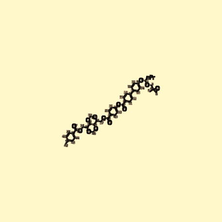 CCCC(OCC1(C)CO1)Oc1ccc(-c2ccc(C(=O)Oc3ccc(C(=O)OCC4OCOC5C(COC(=O)c6ccc(C)cc6)OCOC45)cc3)cc2)cc1